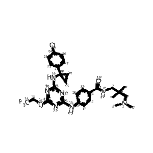 CN(C)CC(C)(C)CNC(=O)c1ccc(Nc2nc(NC3(c4ccc(Cl)cc4)CC3)nc(OCC(F)(F)F)n2)cc1